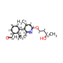 Cc1cc(OCC[C@H](C)O)nc(C)c1-c1cccc(C=O)c1C